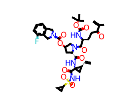 C=C[C@@H]1C[C@]1(NC(=O)[C@@H]1CC(OC(=O)N2Cc3cccc(F)c3C2)CN1C(=O)[C@H](CCC(=O)C(=C)C)NC(=O)OC(C)(C)C)C(=O)NS(=O)(=O)C1CC1